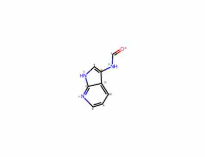 O=CNc1c[nH]c2ncccc12